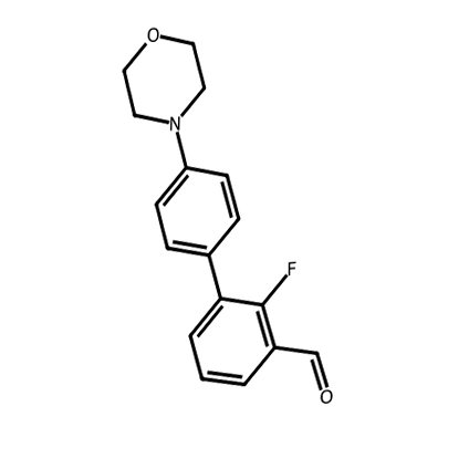 O=Cc1cccc(-c2ccc(N3CCOCC3)cc2)c1F